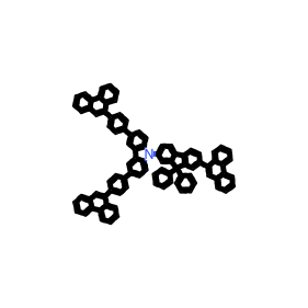 c1ccc(C2(c3ccccc3)c3cc(-c4cc5ccccc5c5ccccc45)ccc3-c3ccc(-n4c5ccc(-c6ccc(-c7cc8ccccc8c8ccccc78)cc6)cc5c5cc(-c6ccc(-c7cc8ccccc8c8ccccc78)cc6)ccc54)cc32)cc1